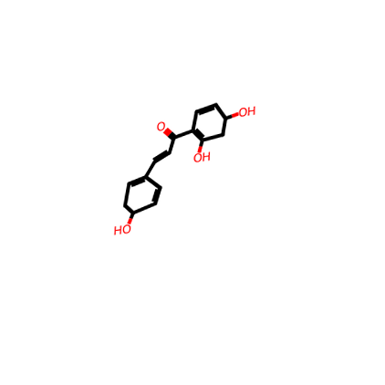 O=C(/C=C/C1=CCC(O)C=C1)C1=C(O)CC(O)C=C1